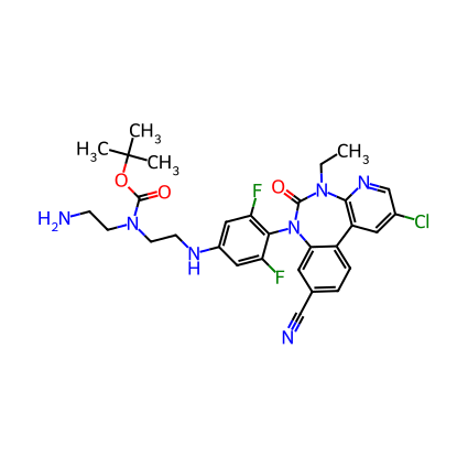 CCN1C(=O)N(c2c(F)cc(NCCN(CCN)C(=O)OC(C)(C)C)cc2F)c2cc(C#N)ccc2-c2cc(Cl)cnc21